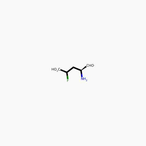 N[C@H]([C]=O)CC(F)C(=O)O